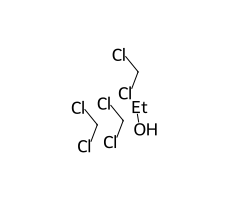 CCO.ClCCl.ClCCl.ClCCl